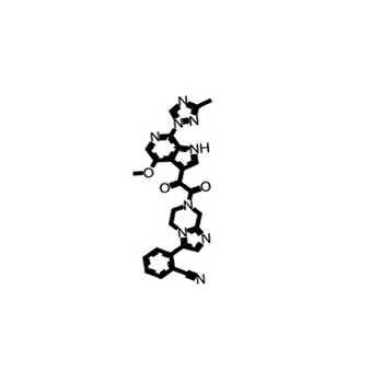 COc1cnc(-n2cnc(C)n2)c2[nH]cc(C(=O)C(=O)N3CCn4c(-c5ccccc5C#N)cnc4C3)c12